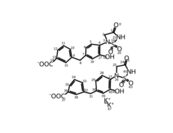 O=C1CN(c2ccc(Cc3cccc(C(=O)[O-])c3)cc2O)S(=O)(=O)N1.O=C1CN(c2ccc(Cc3cccc(C(=O)[O-])c3)cc2O)S(=O)(=O)N1.[K+].[K+]